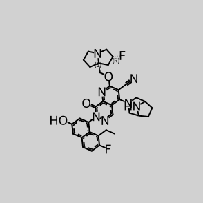 CCc1c(F)ccc2cc(O)cc(-n3ncc4c(N5CC6CCC(C5)N6)c(C#N)c(OC[C@@]56CCCN5C[C@H](F)C6)nc4c3=O)c12